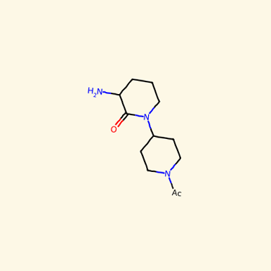 CC(=O)N1CCC(N2CCCC(N)C2=O)CC1